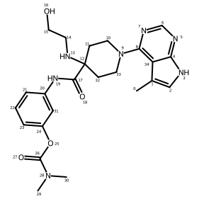 Cc1c[nH]c2ncnc(N3CCC(NCCO)(C(=O)Nc4cccc(OC(=O)N(C)C)c4)CC3)c12